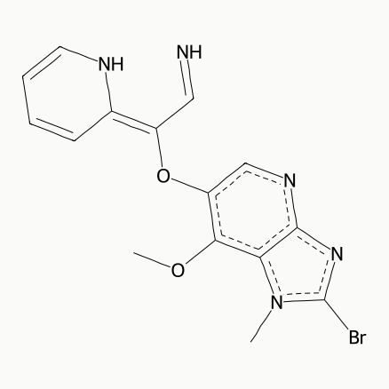 COc1c(O/C(C=N)=C2\C=CC=CN2)cnc2nc(Br)n(C)c12